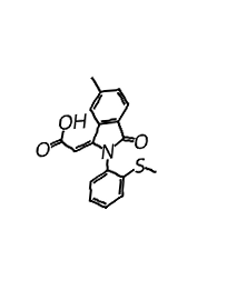 CSc1ccccc1N1C(=O)c2ccc(C)cc2C1=CC(=O)O